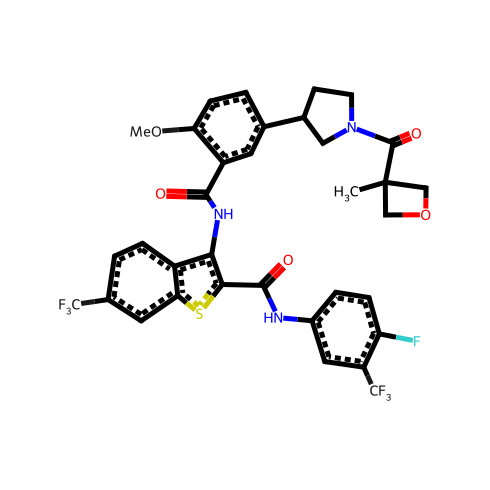 COc1ccc(C2CCN(C(=O)C3(C)COC3)C2)cc1C(=O)Nc1c(C(=O)Nc2ccc(F)c(C(F)(F)F)c2)sc2cc(C(F)(F)F)ccc12